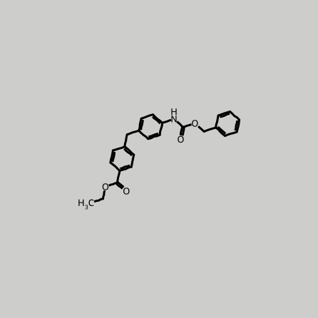 CCOC(=O)c1ccc(Cc2ccc(NC(=O)OCc3ccccc3)cc2)cc1